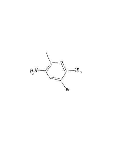 Cc1cc(C(F)(F)F)c(Br)cc1N